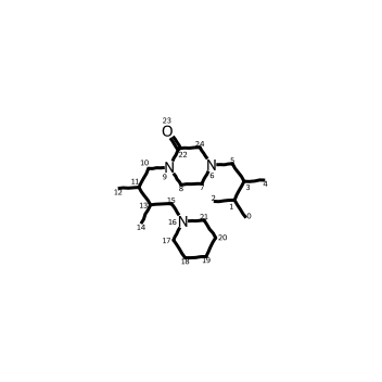 CC(C)C(C)CN1CCN(CC(C)C(C)CN2CCCCC2)C(=O)C1